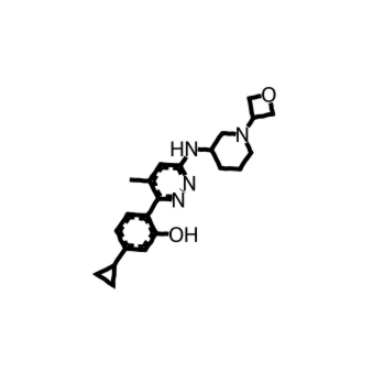 Cc1cc(NC2CCCN(C3COC3)C2)nnc1-c1ccc(C2CC2)cc1O